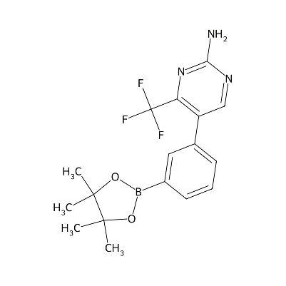 CC1(C)OB(c2cccc(-c3cnc(N)nc3C(F)(F)F)c2)OC1(C)C